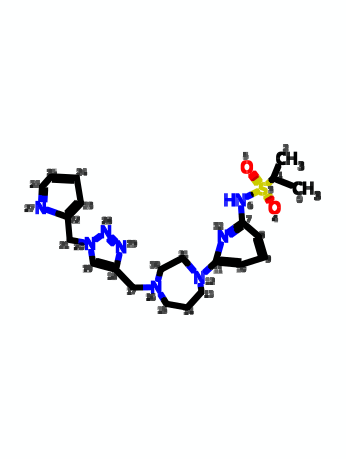 CC(C)S(=O)(=O)Nc1cccc(N2CCCN(Cc3cn(Cc4ccccn4)nn3)CC2)n1